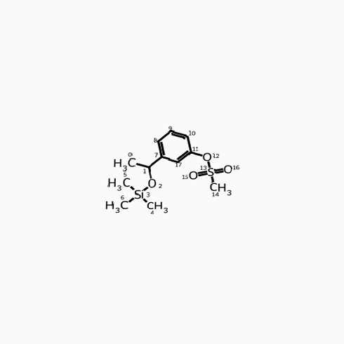 CC(O[Si](C)(C)C)c1cccc(OS(C)(=O)=O)c1